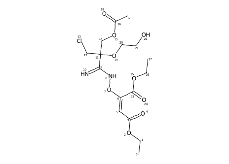 CCOC(=O)/C=C(/ONC(=N)C(CCl)(COC(C)=O)OCCO)C(=O)OCC